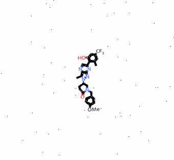 COc1ccc(CN2C[C@H](n3nc4nc(-c5c(C)cc(C(F)(F)F)cc5O)cnc4c3C)CCC2=O)cc1